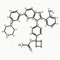 NC(=O)OC1(c2ccc(-n3c(-c4cccnc4N)nc4ccc(-c5cccc(N6CCOCC6)c5)nc43)cc2)CCC1